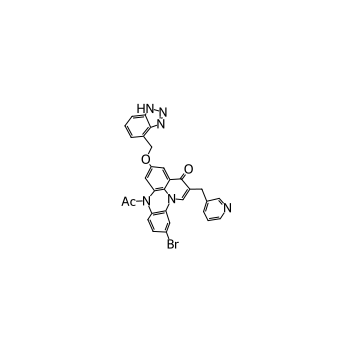 CC(=O)N1c2ccc(Br)cc2-n2cc(Cc3cccnc3)c(=O)c3cc(OCc4cccc5[nH]nnc45)cc1c32